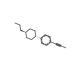 CC#Cc1ccc([C@H]2CC[C@H](CCC)CC2)cc1